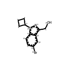 OCc1nn(C2CCC2)c2ccc(Br)cc12